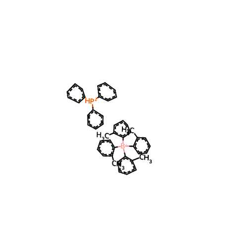 Cc1ccccc1[B-](c1ccccc1C)(c1ccccc1C)c1ccccc1C.c1ccc([PH+](c2ccccc2)c2ccccc2)cc1